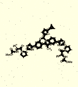 COC(=O)N[C@H](C(=O)N1CCC[C@H]1c1ncc(-c2ccc3c(c2)OC(c2ccc(C4CC4)s2)n2c-3c(C)c3cc(-c4cnc([C@@H]5CCCN5C(=O)[C@@H](NC(=O)OC)C(C)C)[nH]4)ccc32)[nH]1)C(C)C